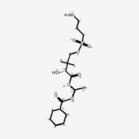 CC(=O)NCCCS(=O)(=O)OCC(C)(C)[C@@H](O)C(=O)OC(OC(=O)C1CCCCC1)C(C)C